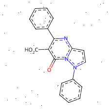 O=C(O)c1c(-c2ccccc2)nc2ccn(-c3ccccc3)n2c1=O